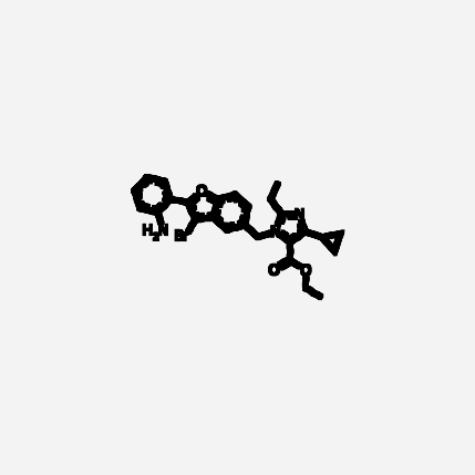 CCOC(=O)c1c(C2CC2)nc(CC)n1Cc1ccc2oc(-c3ccccc3N)c(Br)c2c1